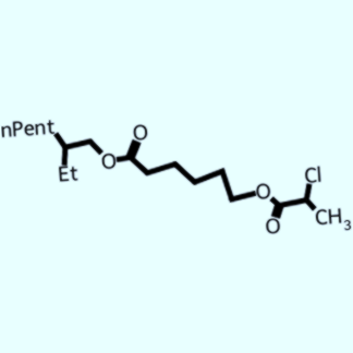 CCCCCC(CC)COC(=O)CCCCCOC(=O)C(C)Cl